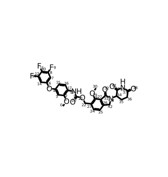 COc1cc(Oc2cc(F)c(F)c(F)c2)ccc1NC(=O)OCc1ccc2c(c1OC)C(=O)N(C1CCC(=O)NC1=O)C2